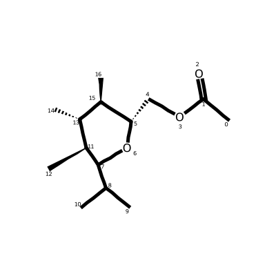 CC(=O)OC[C@@H]1OC(C(C)C)[C@@H](C)[C@H](C)[C@H]1C